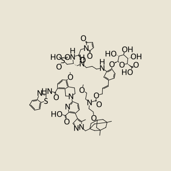 COCCN(CCOC12CC3(C)CC(C)(CC(Cn4ncc(-c5ccc(N6CCc7c(OC)ccc(C(=O)Nc8nc9ccccc9s8)c7C6)nc5C(=O)O)c4C)(C3)C1)C2)C(=O)OC/C=C/c1ccc(O[C@@H]2O[C@H](C(=O)O)[C@@H](O)[C@H](O)[C@H]2O)c(NCCCNC[C@H](CS(=O)(=O)O)NC(=O)CN2C(=O)C=CC2=O)c1